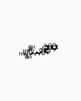 O=C(CCC[C@H](CON(O)O)ON(O)O)O[C@H]1CO[C@H]2[C@@H]1OC[C@@H]2OC1CCCCO1